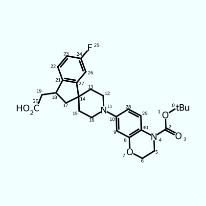 CC(C)(C)OC(=O)N1CCOc2cc(N3CCC4(CC3)CC(CC(=O)O)c3ccc(F)cc34)ccc21